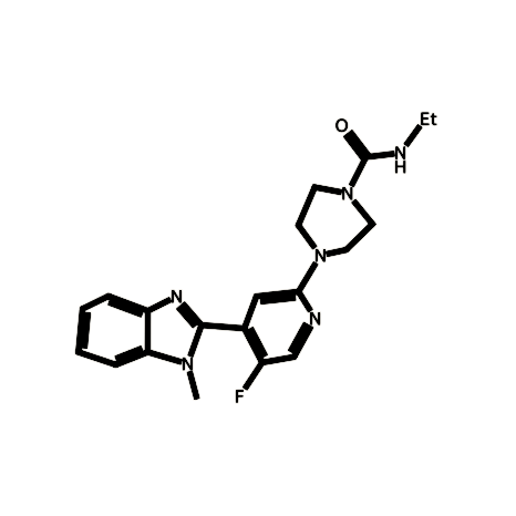 CCNC(=O)N1CCN(c2cc(-c3nc4ccccc4n3C)c(F)cn2)CC1